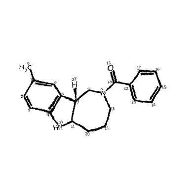 Cc1ccc2c(c1)[C@@H]1CN(C(=O)c3ccccc3)CCCC1N2